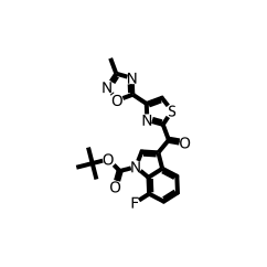 Cc1noc(-c2csc(C(=O)c3cn(C(=O)OC(C)(C)C)c4c(F)cccc34)n2)n1